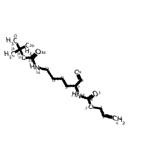 C=CCOC(=O)NC(C=O)CCCCNC(=O)OC(C)(C)C